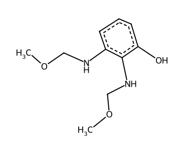 COCNc1cccc(O)c1NCOC